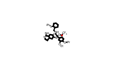 CCOc1cc(C(Nc2ccc3c(N)nccc3c2)(OC(=O)C(F)(F)F)C(=O)NCc2ccccc2SC(C)C)ccc1OC(C)C